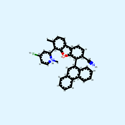 Cc1ccc2c(oc3c(-c4cc5ccccc5c5ccccc45)c(C#N)ccc32)c1-c1cc(F)cc[n+]1C